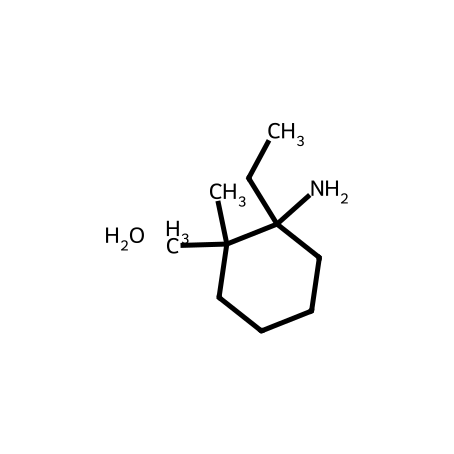 CCC1(N)CCCCC1(C)C.O